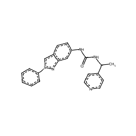 CC(NC(=O)Nc1ccc2cn(-c3ccccc3)nc2c1)c1ccncc1